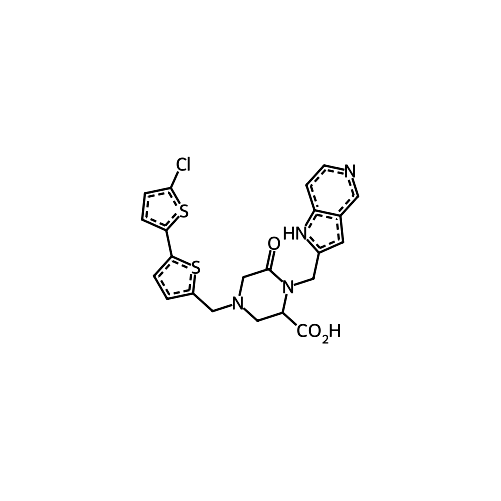 O=C(O)C1CN(Cc2ccc(-c3ccc(Cl)s3)s2)CC(=O)N1Cc1cc2cnccc2[nH]1